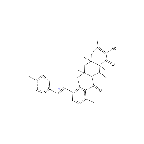 CC(=O)C1=C(C)CC2(C)CC3(C)Cc4c(/C=C/c5ccc(C)cc5)ccc(C)c4C(=O)C3C(C)C2(C)C1=O